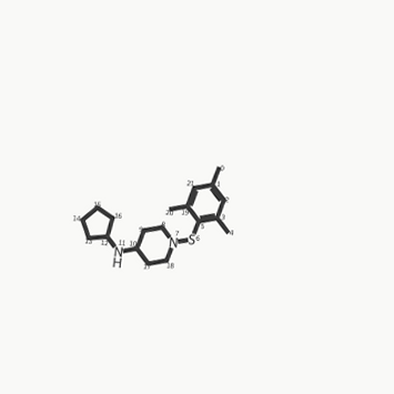 Cc1cc(C)c(SN2CCC(NC3CCCC3)CC2)c(C)c1